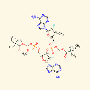 CCC(C)(C)C(=O)OCOP(=O)(COC)OC[C@H]1O[C@@H](n2cnc3c(N)ncnc32)[C@H](F)[C@@H]1OP(=O)(OCOC(=O)C(C)(C)CC)OC[C@H]1O[C@@H](n2cnc3c(N)ncnc32)[C@H](F)[C@@H]1C